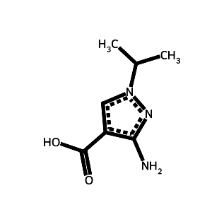 CC(C)n1cc(C(=O)O)c(N)n1